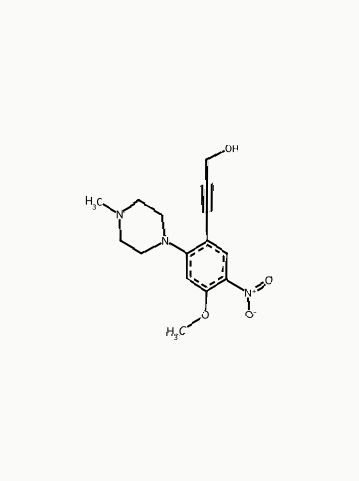 COc1cc(N2CCN(C)CC2)c(C#CCO)cc1[N+](=O)[O-]